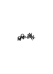 C=NC1=Nc2cc(-c3ccc4c(=O)n(Cc5ccno5)ccc4c3)ccc2C=C(C(=CCC)N(CCC)CCC)C1